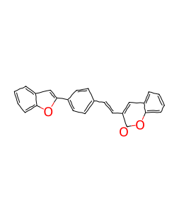 O=c1oc2ccccc2cc1C=Cc1ccc(-c2cc3ccccc3o2)cc1